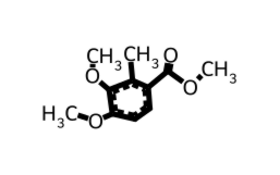 COC(=O)c1ccc(OC)c(OC)c1C